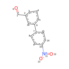 O=Cc1cccc(-c2ccc([N+](=O)[O-])cc2)c1